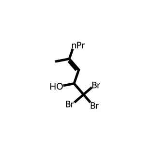 CCCC(C)=CC(O)C(Br)(Br)Br